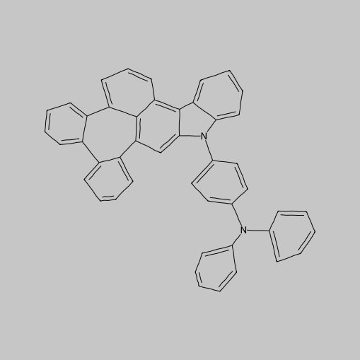 c1ccc(N(c2ccccc2)c2ccc(-n3c4ccccc4c4c5cccc6c5c(cc43)-c3ccccc3-c3ccccc3-6)cc2)cc1